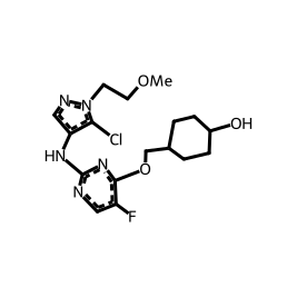 COCCn1ncc(Nc2ncc(F)c(OCC3CCC(O)CC3)n2)c1Cl